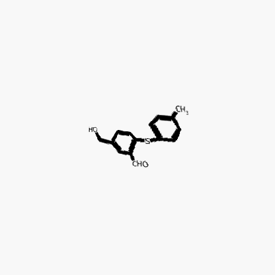 Cc1ccc(Sc2ccc(CO)cc2C=O)cc1